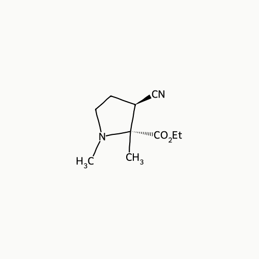 CCOC(=O)[C@@]1(C)[C@H](C#N)CCN1C